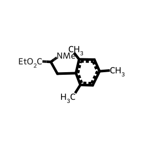 CCOC(=O)C(Cc1c(C)cc(C)cc1C)NC